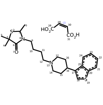 CC1SC(C)(C)C(=O)N1CCCCN1CCC(c2csc3ccccc23)CC1.O=C(O)/C=C\C(=O)O